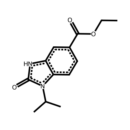 CCOC(=O)c1ccc2c(c1)[nH]c(=O)n2C(C)C